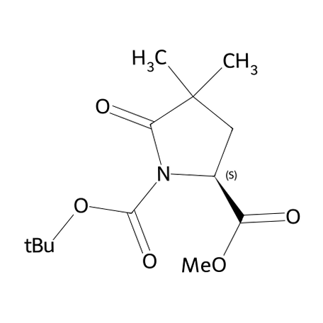 COC(=O)[C@@H]1CC(C)(C)C(=O)N1C(=O)OC(C)(C)C